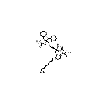 CCCCCCC=C[C@H]1CC[C@H](OC(C)=O)[C@@H]1CC(C)(C#CCCC(OC(C)=O)(OC1CCCCO1)OC1CCCCO1)OC(C)=O